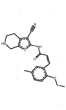 CCOc1ccc(C)cc1/C=C\C(=O)Nc1sc2c(c1C#N)CCNC2